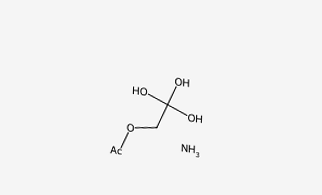 CC(=O)OCC(O)(O)O.N